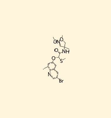 COCC(C)(/C=N/OC)NC(=O)C(Oc1cc(C)c2ncc(Br)cc2c1)SC